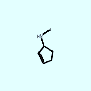 INC1C=CCC1